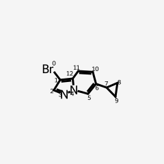 Brc1cnn2cc(C3CC3)ccc12